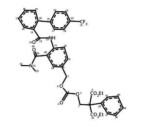 CCOC(=O)C(COC(=O)OCc1ccc(NC(=O)c2ccccc2-c2ccc(C(F)(F)F)cc2)c(C(=O)N(C)C)c1)(C(=O)OCC)c1ccccc1